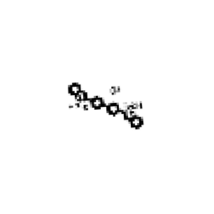 O=S(=O)(O)C(=Cc1ccccc1)c1ccc(-c2ccc(C(=Cc3ccccc3)S(=O)(=O)O)cc2)cc1.[Na].[Na]